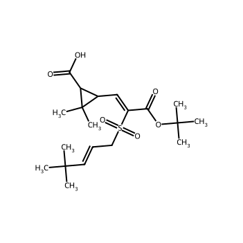 CC(C)(C)C=CCS(=O)(=O)C(=CC1C(C(=O)O)C1(C)C)C(=O)OC(C)(C)C